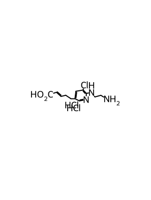 Cl.Cl.NCCNc1ncc(CC/C=C/C(=O)O)cc1Cl